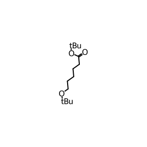 CC(C)(C)OCCCCCC(=O)OC(C)(C)C